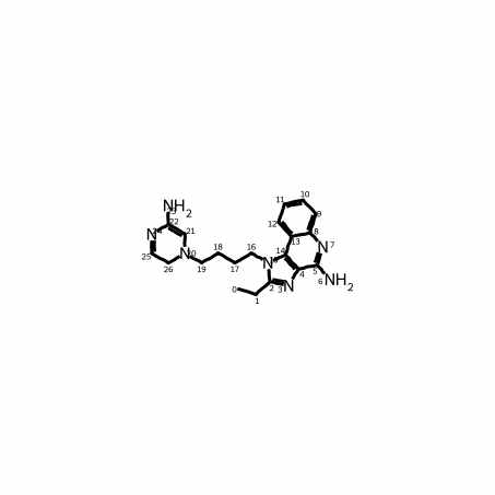 CCc1nc2c(N)nc3ccccc3c2n1CCCCN1C=C(N)N=CC1